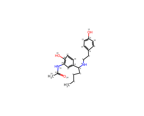 CCCCC(NCCc1ccc(O)cc1)c1ccc(O)c(NC(C)=O)c1